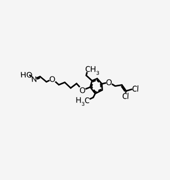 CCc1cc(OCC=C(Cl)Cl)cc(CC)c1OCCCCOC/C=N/O